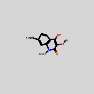 CCCCCCn1c(=O)c(OC(C)C)c(O)c2ccc(NC(C)=O)cc21